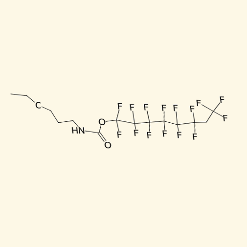 CCCCCCNC(=O)OC(F)(F)C(F)(F)C(F)(F)C(F)(F)C(F)(F)C(F)(F)CC(F)(F)F